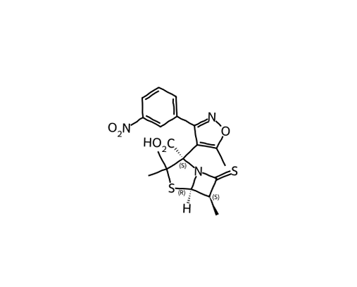 Cc1onc(-c2cccc([N+](=O)[O-])c2)c1[C@@]1(C(=O)O)N2C(=S)[C@@H](C)[C@H]2SC1(C)C